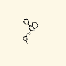 Cc1nc(COc2cc(-c3cccnc3)c3c(n2)CCCC3)cs1